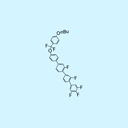 CCCCOc1ccc(C(F)(F)Oc2ccc(-c3ccc(-c4ccc(-c5cc(F)c(F)c(F)c5)c(F)c4)c(F)c3)cc2)cc1